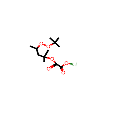 CC(CC(C)(C)OC(=O)C(=O)OCl)OOC(C)(C)C